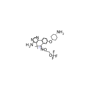 CC1(C)/C(=N/OCCOC(F)(F)F)c2cc(O[C@H]3CC[C@@H](N)CC3)ccc2-c2ncnc(N)c21